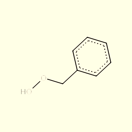 OO[CH]c1ccccc1